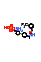 CC(NOCc1cccc(C(F)(F)F)c1)C1=CCC([C@@H]2CC[C@](N)(COP(=O)(O)O)C2)C=C1